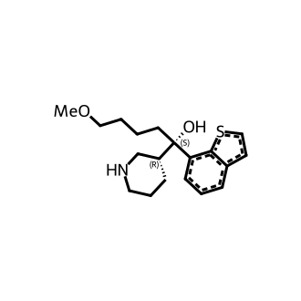 COCCCC[C@@](O)(c1cccc2ccsc12)[C@@H]1CCCNC1